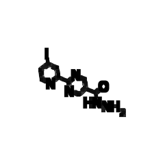 NNC(=O)c1cnc(-c2cc(I)ccn2)nc1